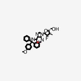 COc1ccc(C(NC2=NC=NC3C2N=CN3[C@@H]2O[C@H](CO)[C@@H](C)[C@H]2F)(c2ccccc2)c2ccccc2)cc1